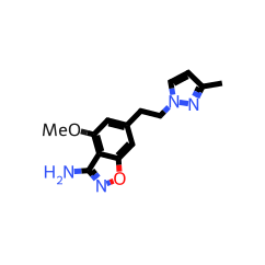 COc1cc(CCn2ccc(C)n2)cc2onc(N)c12